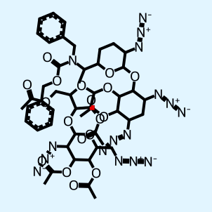 CC(=O)OCC1OC(OC2C(OC(C)=O)C(N=[N+]=[N-])CC(N=[N+]=[N-])C2OC2OC(C(C)N(Cc3ccccc3)C(=O)OCc3ccccc3)CCC2N=[N+]=[N-])C(OC(C)=O)C1OC1OC(CN=[N+]=[N-])C(OC(C)=O)C(OC(C)=O)C1N=[N+]=[N-]